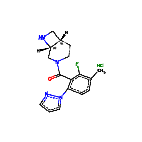 Cc1ccc(-n2cccn2)c(C(=O)N2CC[C@H]3CN[C@H]3C2)c1F.Cl